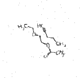 C#CCCC.CCOCCOC(C)=O